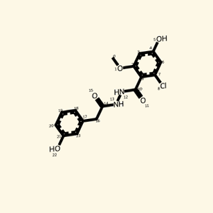 COc1cc(O)cc(Cl)c1C(=O)NNC(=O)Cc1cccc(O)c1